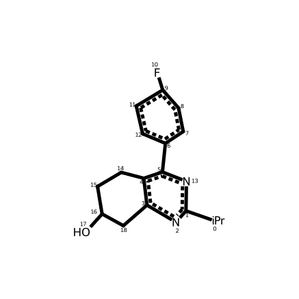 CC(C)c1nc2c(c(-c3ccc(F)cc3)n1)CCC(O)C2